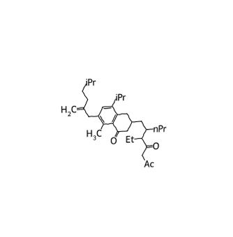 C=C(CCC(C)C)Cc1cc(C(C)C)c2c(c1C)C(=O)CC(CC(CCC)C(CC)C(=O)CC(C)=O)C2